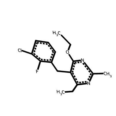 CCOc1nc(C)nc(CC)c1Cc1cccc(Cl)c1F